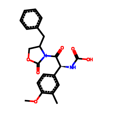 COc1ccc([C@@H](NC(=O)O)C(=O)N2C(=O)OCC2Cc2ccccc2)cc1C